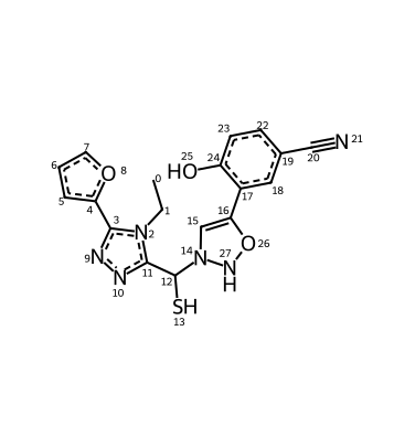 CCn1c(-c2ccco2)nnc1C(S)N1C=C(c2cc(C#N)ccc2O)ON1